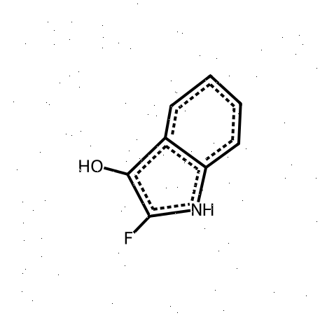 Oc1c(F)[nH]c2ccccc12